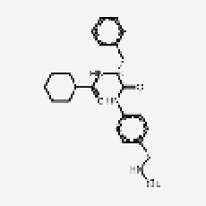 CC(C)(C)NSc1ccc(NC(=O)[C@@H](Cc2ccccc2)NC(=O)C2CCCCC2)cc1